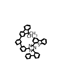 CC1(C)c2ccccc2-c2ccc(-c3cccc(-c4cccc(-c5nc(-c6ccccc6-c6ccccc6)nc(-c6cccc7c6sc6ccccc67)n5)c4)c3)cc21